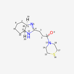 O=C(CCC1=N[C@@H]2CCCC[C@@H]2N1)N1CCSCC1